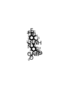 COC(=O)Nc1cc2nc(C)nc(N[C@H](C)c3cccc(C(F)(F)F)c3C)c2cc1P(C)(C)=O